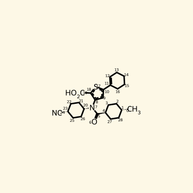 C[C@H]1CC[C@H](C(=O)N(c2cc(C3=CCCCC3)sc2C(=O)O)[C@H]2CC[C@@H](C#N)CC2)CC1